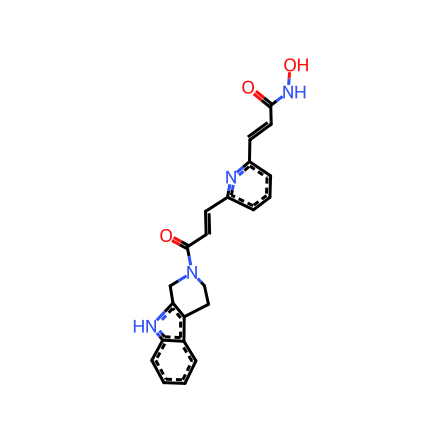 O=C(/C=C/c1cccc(/C=C/C(=O)N2CCc3c([nH]c4ccccc34)C2)n1)NO